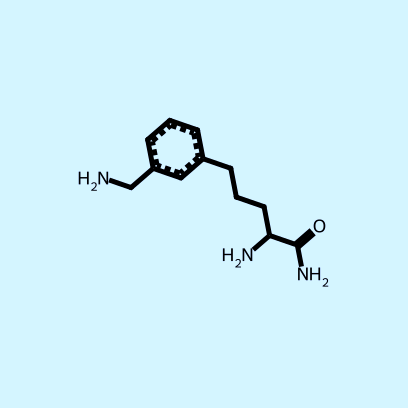 NCc1cccc(CCCC(N)C(N)=O)c1